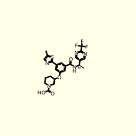 Cc1cnc(-c2cc(OC3CCCN(C(=O)O)C3)cc(C(=O)N[C@H](C)c3cnc(C(F)(F)F)nc3)c2)s1